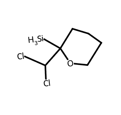 [SiH3]C1(C(Cl)Cl)CCCCO1